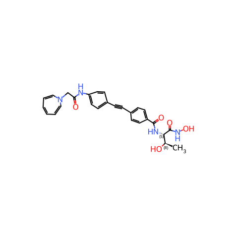 C[C@@H](O)[C@H](NC(=O)c1ccc(C#Cc2ccc(NC(=O)CN3C=CC=CC=C3)cc2)cc1)C(=O)NO